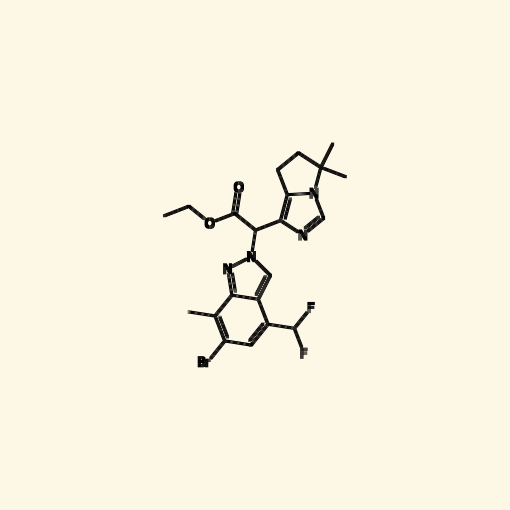 CCOC(=O)C(c1ncn2c1CCC2(C)C)n1cc2c(C(F)F)cc(Br)c(C)c2n1